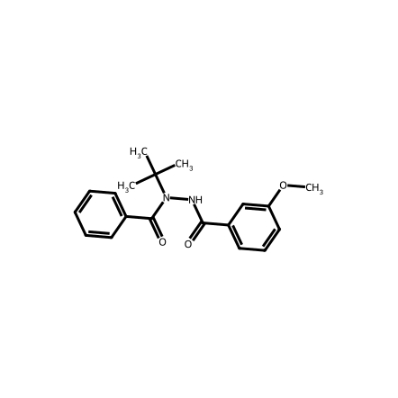 COc1cccc(C(=O)NN(C(=O)c2ccccc2)C(C)(C)C)c1